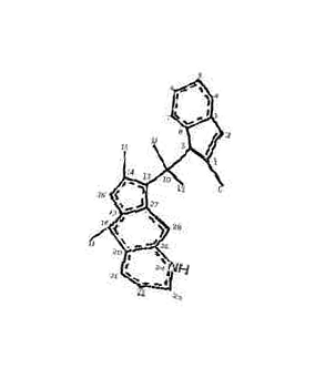 CC1=Cc2ccccc2C1C(C)(C)c1c(C)cc2c(C)c3ccc[nH]c3cc12